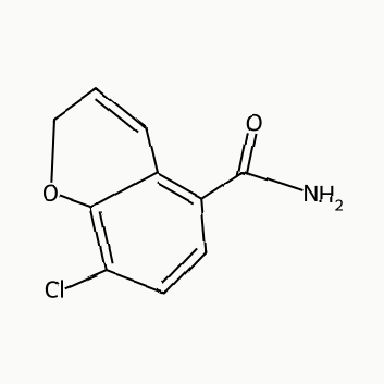 NC(=O)c1ccc(Cl)c2c1C=CCO2